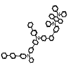 c1ccc(-c2ccc(-c3ccc(N(c4ccccc4)c4ccc(-c5ccc(N(c6ccc(-c7ccccc7)cc6)c6ccc(-c7cccc(-c8cccc(N(c9ccccc9)c9c%10ccccc%10c(N(c%10ccccc%10)c%10ccccc%10)c%10ccccc9%10)c8)c7)cc6)cc5)cc4)cc3)cc2)cc1